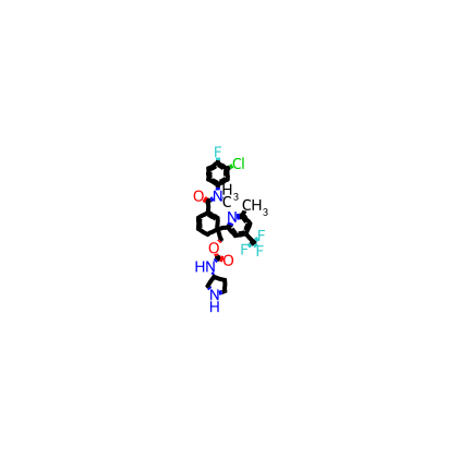 Cc1cc(C(F)(F)F)cc(C2(COC(=O)N[C@H]3CCNC3)C=C(C(=O)N(C)c3ccc(F)c(Cl)c3)C=CC2)n1